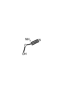 N.N#COO